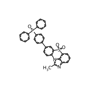 Cc1nc2cccc3c2n1-c1ccc(-c2ccc(P(=O)(c4ccccc4)c4ccccc4)cc2)cc1S3(=O)=O